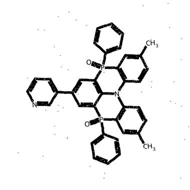 Cc1ccc2c(c1)P(=O)(c1ccccc1)c1cc(-c3cccnc3)cc3c1N2c1ccc(C)cc1P3(=O)c1ccccc1